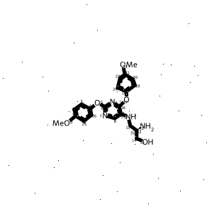 COc1ccc(Oc2ncc(NC[C@H](N)CO)c(Oc3ccc(OC)cc3)n2)cc1